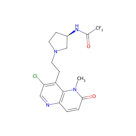 Cn1c(=O)ccc2ncc(Cl)c(CCN3CC[C@@H](NC(=O)C(F)(F)F)C3)c21